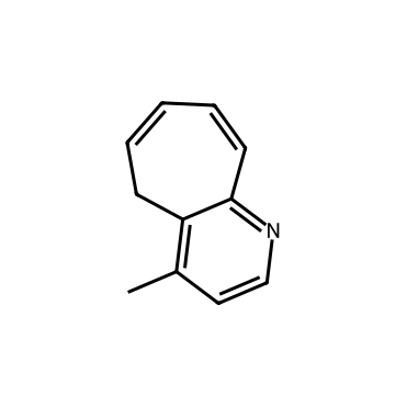 Cc1ccnc2c1CC=CC=C2